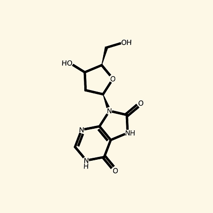 O=c1[nH]cnc2c1[nH]c(=O)n2[C@H]1CC(O)[C@@H](CO)O1